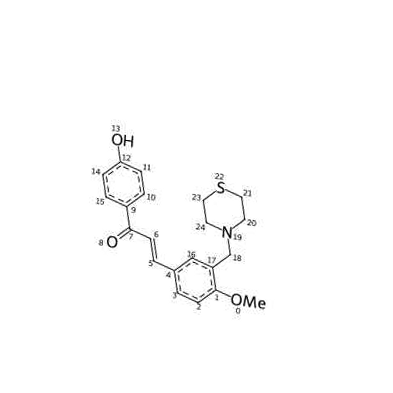 COc1ccc(/C=C/C(=O)c2ccc(O)cc2)cc1CN1CCSCC1